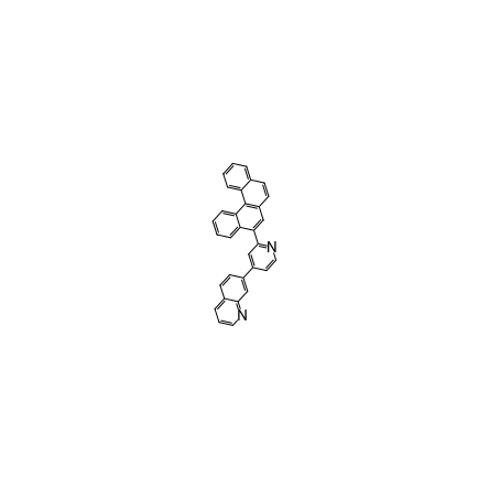 c1cnc2cc(-c3ccnc(-c4cc5ccc6ccccc6c5c5ccccc45)c3)ccc2c1